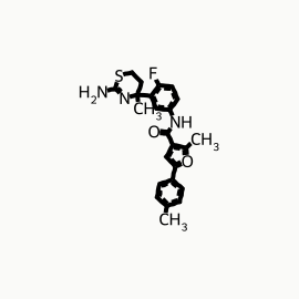 Cc1ccc(-c2cc(C(=O)Nc3ccc(F)c(C4(C)CCSC(N)=N4)c3)c(C)o2)cc1